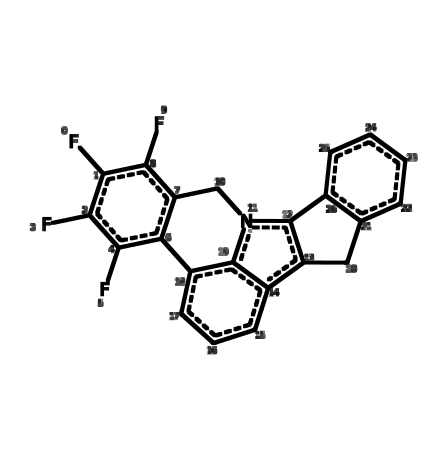 Fc1c(F)c(F)c2c(c1F)Cn1c3c(c4cccc-2c41)Cc1ccccc1-3